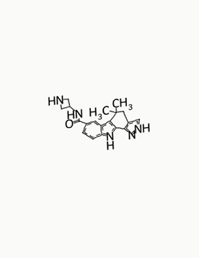 CC1(C)Cc2c[nH]nc2-c2[nH]c3ccc(C(=O)NC4CNC4)cc3c21